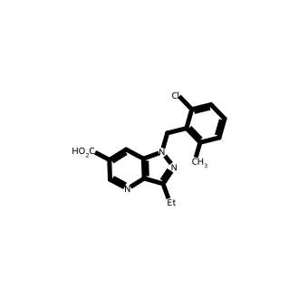 CCc1nn(Cc2c(C)cccc2Cl)c2cc(C(=O)O)cnc12